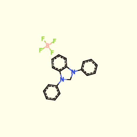 F[B-](F)(F)F.c1ccc(N2CN(c3ccccc3)c3ccccc32)cc1